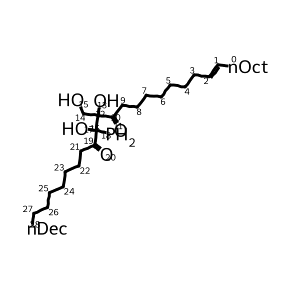 CCCCCCCCC=CCCCCCCCC(=O)C(O)(CO)C(O)(P)C(=O)CCCCCCCCCCCCCCCCC